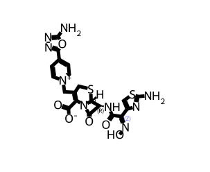 Nc1nnc(-c2cc[n+](CC3=C(C(=O)[O-])N4C(=O)[C@@H](NC(=O)/C(=N\O)c5csc(N)n5)[C@H]4SC3)cc2)o1